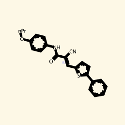 CCCOc1ccc(NC(=O)/C(C#N)=C/c2ccc(-c3ccccc3)s2)cc1